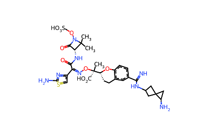 CC1(C)[C@H](NC(=O)/C(=N\O[C@](C)(C(=O)O)[C@H]2CCc3cc(C(=N)NC4CC5(C4)C[C@H]5N)ccc3O2)c2csc(N)n2)C(=O)N1OS(=O)(=O)O